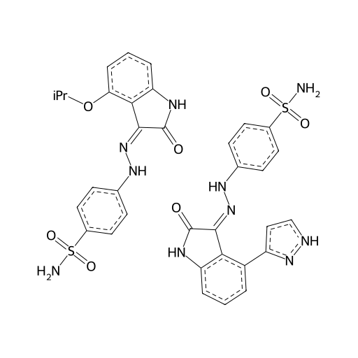 CC(C)Oc1cccc2c1C(=NNc1ccc(S(N)(=O)=O)cc1)C(=O)N2.NS(=O)(=O)c1ccc(NN=C2C(=O)Nc3cccc(-c4cc[nH]n4)c32)cc1